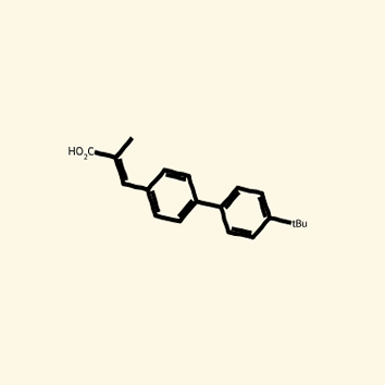 CC(=Cc1ccc(-c2ccc(C(C)(C)C)cc2)cc1)C(=O)O